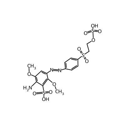 COc1cc(N=Nc2ccc(S(=O)(=O)CCOS(=O)(=O)O)cc2)c(OC)c(S(=O)(=O)O)c1N